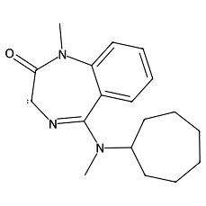 CN1C(=O)[C]N=C(N(C)C2CCCCCC2)c2ccccc21